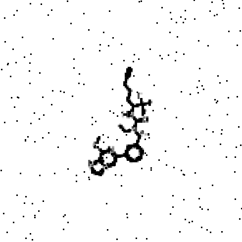 C#CCCCC(NC(=O)N(CC)[C@H](C)c1cccc(-c2cn3ccnc3c(OC)n2)c1)C(F)(F)F